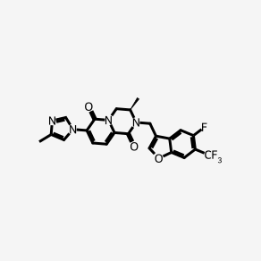 Cc1cn(-c2ccc3n(c2=O)C[C@@H](C)N(Cc2coc4cc(C(F)(F)F)c(F)cc24)C3=O)cn1